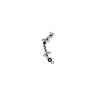 O=C(COc1ccc(Cl)cc1)NCCCCCC12CC(NC(=O)COCC(F)(F)F)(C1)C2